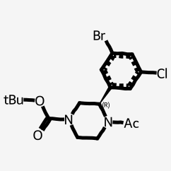 CC(=O)N1CCN(C(=O)OC(C)(C)C)C[C@H]1c1cc(Cl)cc(Br)c1